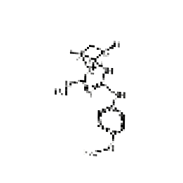 CC(C)(C)OC(=O)N1C[C@H]2C[C@@H]1[C@H]2NC(=O)Nc1ccc(OC(F)(F)F)cc1